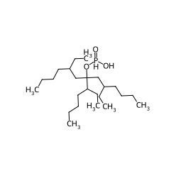 CCCCC(CC)CC(CC(CC)CCCC)(O[PH](=O)O)C(CC)CCCC